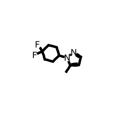 Cc1ccnn1C1CCC(F)(F)CC1